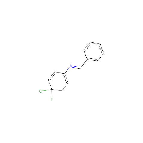 FC1(Cl)C=CC(N=Cc2ccccc2)=CC1